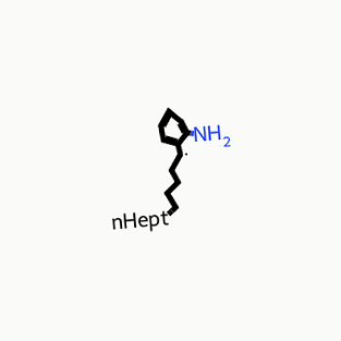 CCCCCCCCCCC[CH]c1ccccc1N